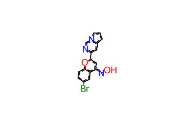 ON=c1cc(-c2cc3cccn3cn2)oc2ccc(Br)cc12